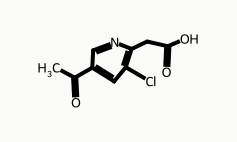 CC(=O)c1cnc(CC(=O)O)c(Cl)c1